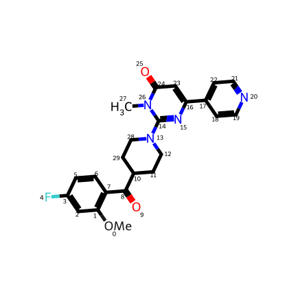 COc1cc(F)ccc1C(=O)C1CCN(c2nc(-c3ccncc3)cc(=O)n2C)CC1